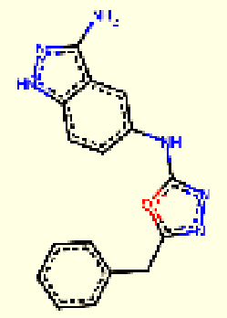 Nc1n[nH]c2ccc(Nc3nnc(Cc4ccccc4)o3)cc12